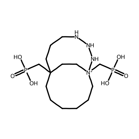 O=P(O)(O)CC12CCCCCC[N+](CP(=O)(O)O)(CC1)NNNCCC2